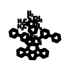 CC1C(C)(C)c2ccc(-c3ccc(-n4c5ccccc5c5ccc6c7ccccc7n(-c7nc(-c8ccc(-c9ccccc9)cc8)nc(-c8cccc(-c9ccccc9)c8)n7)c6c54)cc3)cc2C1(C)C